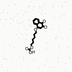 O=C(O)OCCCCCCOC1=CC(=O)C(=O)c2ccccc21